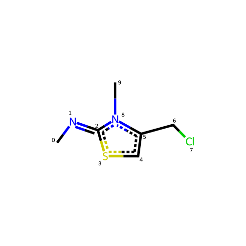 C/N=c1\scc(CCl)n1C